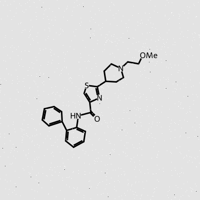 COCCN1CCC(c2nc(C(=O)Nc3ccccc3-c3ccccc3)cs2)CC1